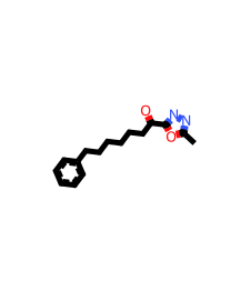 Cc1nnc(C(=O)CCCCCCc2ccccc2)o1